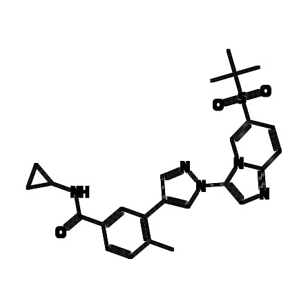 Cc1ccc(C(=O)NC2CC2)cc1-c1cnn(-c2cnc3ccc(S(=O)(=O)C(C)(C)C)cn23)c1